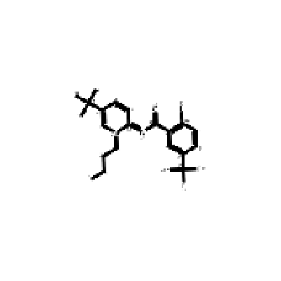 CCCCn1cc(C(C)(C)C)cc/c1=N\C(=O)c1cc(C(F)(F)F)ccc1F